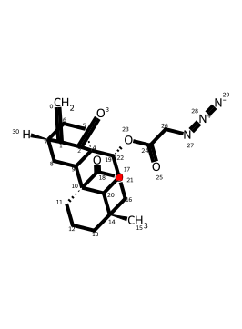 C=C1C(=O)[C@]23CC[C@H]1CC2[C@@]12CCC[C@@](C)(COC1=O)C2C[C@H]3OC(=O)CN=[N+]=[N-]